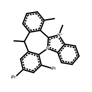 Cc1cccc2c1-c1n(c3ccccc3[n+]1C)-c1c(C(C)C)cc(C(C)C)cc1C2C